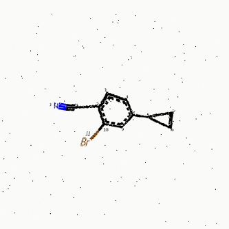 N#Cc1ccc(C2CC2)cc1Br